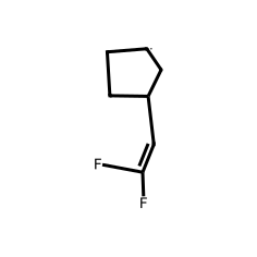 FC(F)=CC1C[CH]CC1